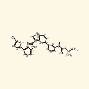 CN(C)CC(=O)Nc1cncc(-c2ccc3[nH]nc(-c4nc5c(-c6ccc(Cl)s6)ccnc5[nH]4)c3n2)c1